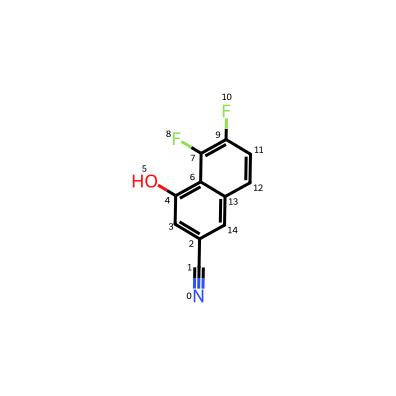 N#Cc1cc(O)c2c(F)c(F)ccc2c1